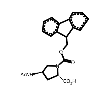 CC(=O)N[C@@H]1C[C@@H](C(=O)O)N(C(=O)OCC2c3ccccc3-c3ccccc32)C1